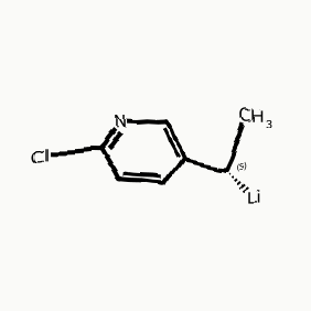 [Li][C@@H](C)c1ccc(Cl)nc1